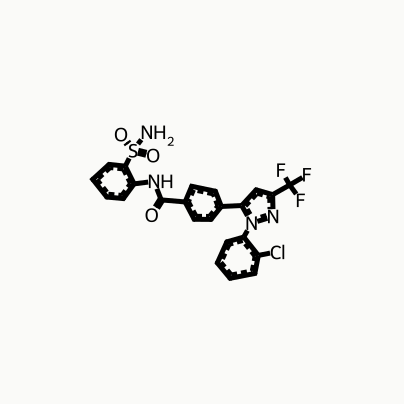 NS(=O)(=O)c1ccccc1NC(=O)c1ccc(-c2cc(C(F)(F)F)nn2-c2ccccc2Cl)cc1